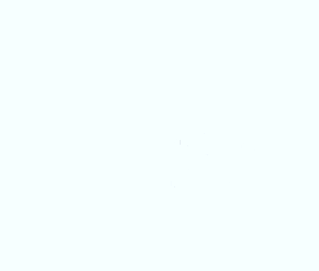 CC(O)C(=O)OS(C)(C)CCCCC1CCCO1